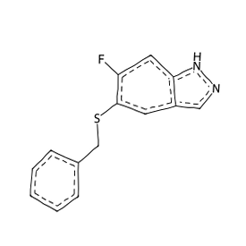 Fc1cc2[nH]ncc2cc1SCc1ccccc1